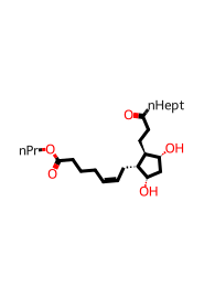 CCCCCCCC(=O)CC[C@@H]1[C@@H](C/C=C\CCCC(=O)OCCC)[C@@H](O)C[C@H]1O